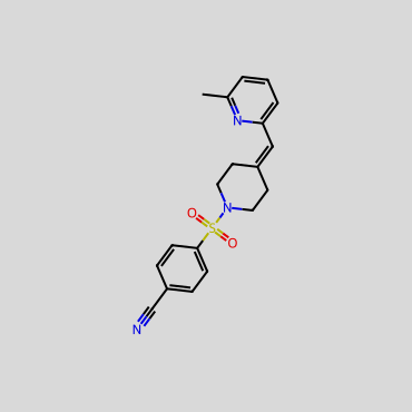 Cc1cccc(C=C2CCN(S(=O)(=O)c3ccc(C#N)cc3)CC2)n1